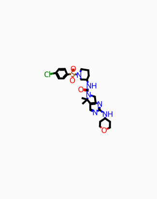 CC1(C)c2cnc(NC3CCOCC3)nc2CN1C(=O)NC1CCCN(S(=O)(=O)c2ccc(Cl)cc2)C1